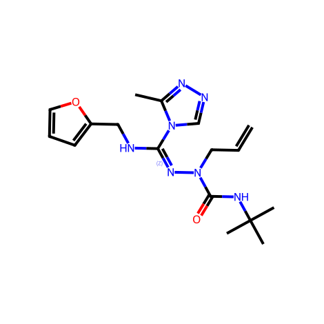 C=CCN(/N=C(/NCc1ccco1)n1cnnc1C)C(=O)NC(C)(C)C